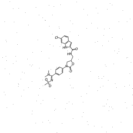 CN(C)C(=NS(C)(=O)=O)c1ccc(N2CC(CNC(=O)c3cc4ccc(Cl)cc4[nH]3)OC2=O)cc1